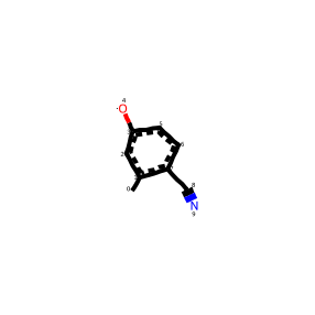 Cc1cc([O])ccc1C#N